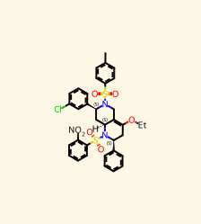 CCOC1=C2CN(S(=O)(=O)c3ccc(C)cc3)[C@H](c3cccc(Cl)c3)C[C@@H]2N(S(=O)(=O)c2ccccc2[N+](=O)[O-])[C@H](c2ccccc2)C1